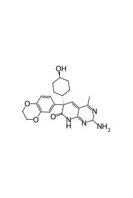 CC1=NC(N)N=C2NC(=O)C(c3ccc4c(c3)OCCO4)([C@H]3CC[C@H](O)CC3)C=C12